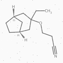 CCC1(OCCC#N)C[C@@H]2CC[C@@H](C2)C1